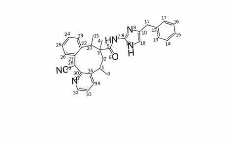 CC1CC(C)(C(=O)Nc2nc(Cc3ccccc3)c[nH]2)C(C)c2ccccc2C(C#N)c2ncccc21